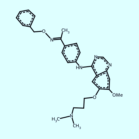 COc1cc2ncnc(Nc3ccc(C(C)=NOCc4ccccc4)cc3)c2cc1OCCCN(C)C